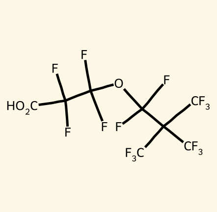 O=C(O)C(F)(F)C(F)(F)OC(F)(F)C(C(F)(F)F)(C(F)(F)F)C(F)(F)F